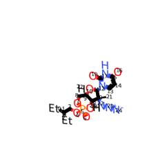 CCC(CC)CO[P@@]1(=O)OC[C@H]2OC(n3ccc(=O)[nH]c3=O)[C@](C)(N=[N+]=[N-])[C@@H]2O1